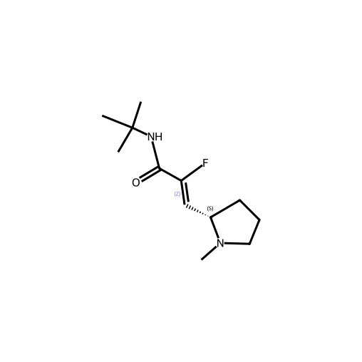 CN1CCC[C@H]1/C=C(\F)C(=O)NC(C)(C)C